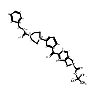 CC(C)(C)OC(=O)N1Cc2cnc(C(=O)c3cccc(N4CCN(C(=O)OCc5ccccc5)CC4)c3)nc2C1